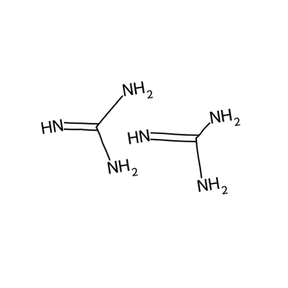 N=C(N)N.N=C(N)N